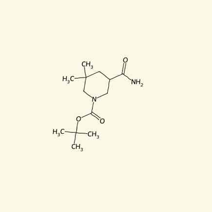 CC1(C)CC(C(N)=O)CN(C(=O)OC(C)(C)C)C1